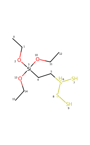 CCO[Si](CC[SH](S)SS)(OCC)OCC